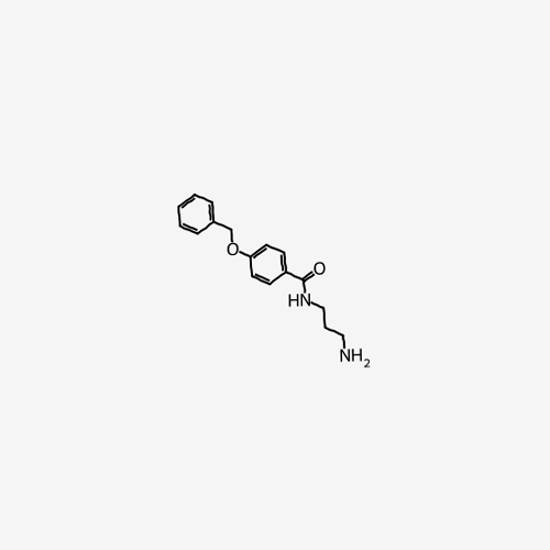 NCCCNC(=O)c1ccc(OCc2ccccc2)cc1